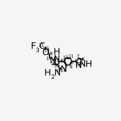 NC1=Nc2cc(-c3cc[nH]n3)ccc2C2NN(CCOCC(F)(F)F)C=C12